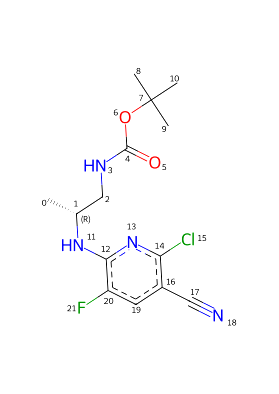 C[C@H](CNC(=O)OC(C)(C)C)Nc1nc(Cl)c(C#N)cc1F